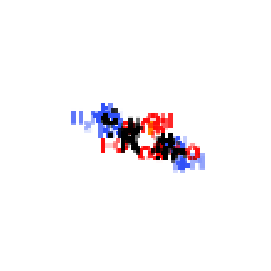 Nc1ncnc2c1ncn2[C@@H]1O[C@@H]2COP(=O)(O)O[C@@H]3[C@H](O)C(OCC[C@H]2[C@H]1O)O[C@H]3n1cnc2c(=O)[nH]ncc21